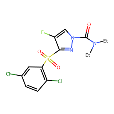 CCN(CC)C(=O)n1cc(F)c(S(=O)(=O)c2cc(Cl)ccc2Cl)n1